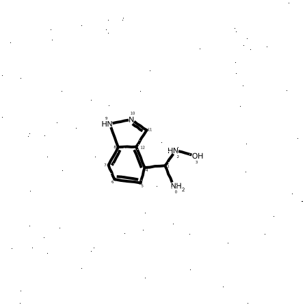 NC(NO)c1cccc2[nH]ncc12